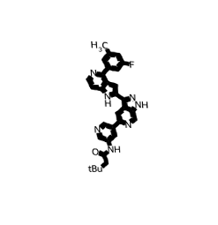 Cc1cc(F)cc(-c2nccc3[nH]c(-c4n[nH]c5cnc(-c6cncc(NC(=O)CC(C)(C)C)c6)cc45)cc23)c1